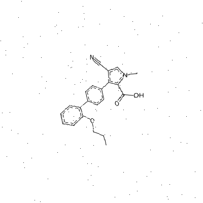 CCCOc1ccccc1-c1ccc(-c2c(C#N)cn(C)c2C(=O)O)cc1